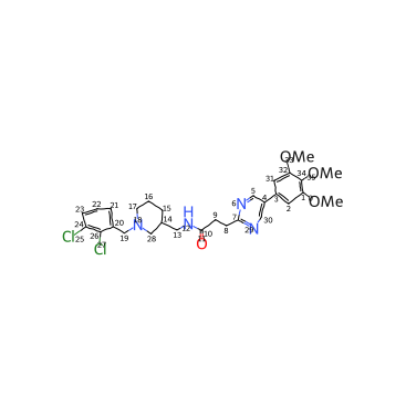 COc1cc(-c2cnc(CCC(=O)NCC3CCCN(Cc4cccc(Cl)c4Cl)C3)nc2)cc(OC)c1OC